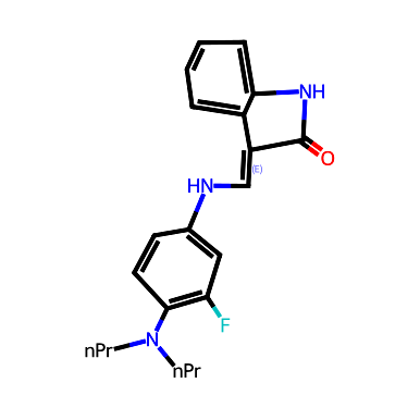 CCCN(CCC)c1ccc(N/C=C2/C(=O)Nc3ccccc32)cc1F